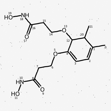 CC1=CC=C(OCCC(=O)NO)C(OCCC(=O)NO)C1C